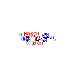 Cc1[nH]c(C(=O)O)nc1P(=O)(O)OC(O)[C@H]1O[C@@H](n2cnc3c(N)ncnc32)[C@H](O)[C@@H]1O